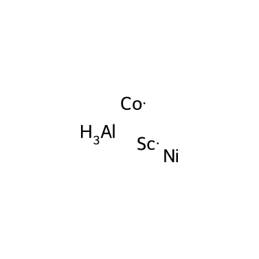 [AlH3].[Co].[Ni].[Sc]